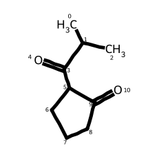 CC(C)C(=O)C1CCCC1=O